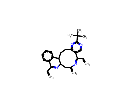 C=CC1=NC2CC(=C)/N=C(/C=C)c3cnc(C(C)(C)C)nc3CCC2c2ccccc21